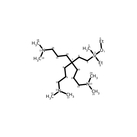 CCO[Si](C)(CC)CCC(CCCN(C)C)(CCCN(C)C)CCCN(C)C